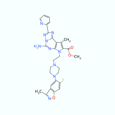 COC(=O)c1c(C)c2c(nc(N)n3nc(-c4ccccn4)nc23)n1CCN1CCN(c2cc3c(C)noc3cc2F)CC1